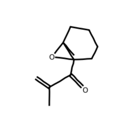 C=C(C)C(=O)C12CCCCC1(C)O2